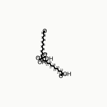 O=CCCCCCCCCCCC(CCCCCCCCCCC(=O)O)(C(=O)O)C(=O)O